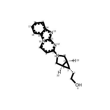 OCC[C@@H]1[C@H]2CN(c3ccn4c(n3)nc3ccccc34)C[C@@H]12